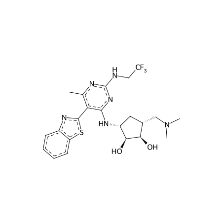 Cc1nc(NCC(F)(F)F)nc(N[C@@H]2C[C@H](CN(C)C)[C@@H](O)[C@H]2O)c1-c1nc2ccccc2s1